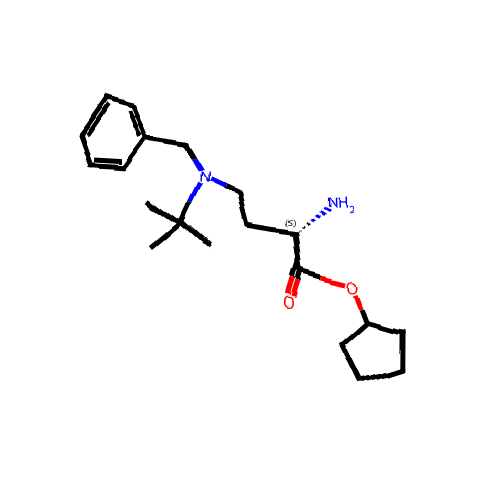 CC(C)(C)N(CC[C@H](N)C(=O)OC1CCCC1)Cc1ccccc1